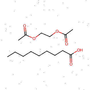 CC(=O)OCCOC(C)=O.CCCCCCCCC(=O)O